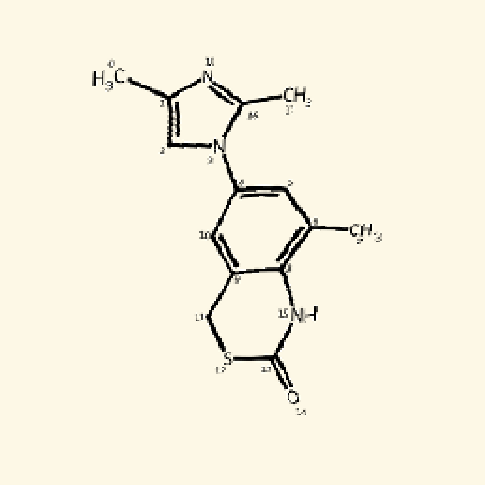 Cc1cn(-c2cc(C)c3c(c2)CSC(=O)N3)c(C)n1